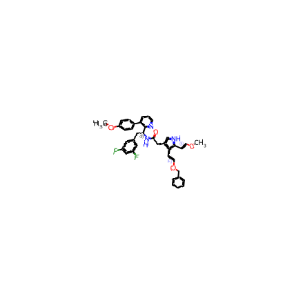 CO/C=C/c1[nH]cc(CC(=O)N[C@@H](Cc2cc(F)cc(F)c2)c2ncccc2-c2ccc(OC)cc2)c1/C=C/OCc1ccccc1